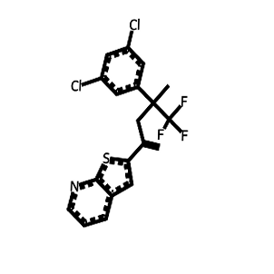 C=C(CC(C)(c1cc(Cl)cc(Cl)c1)C(F)(F)F)c1cc2cccnc2s1